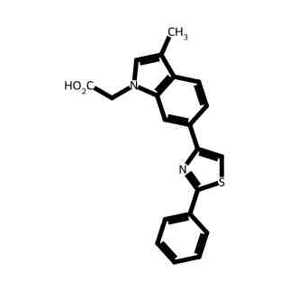 Cc1cn(CC(=O)O)c2cc(-c3csc(-c4ccccc4)n3)ccc12